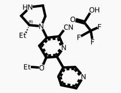 CCOc1cc(N2CCNC[C@H]2CC)c(C#N)nc1-c1cccnc1.O=C(O)C(F)(F)F